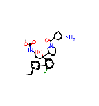 CCc1cccc(-c2c(F)cccc2C(O)(CCCNC(=O)OC)C2CCCN(C(=O)[C@@H]3CC[C@H](N)C3)C2)c1